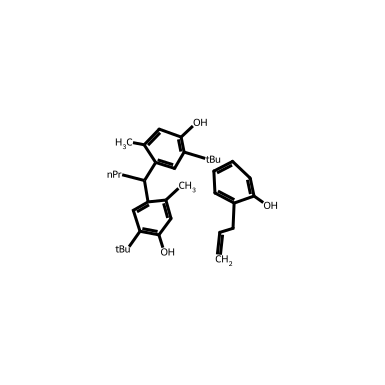 C=CCc1ccccc1O.CCCC(c1cc(C(C)(C)C)c(O)cc1C)c1cc(C(C)(C)C)c(O)cc1C